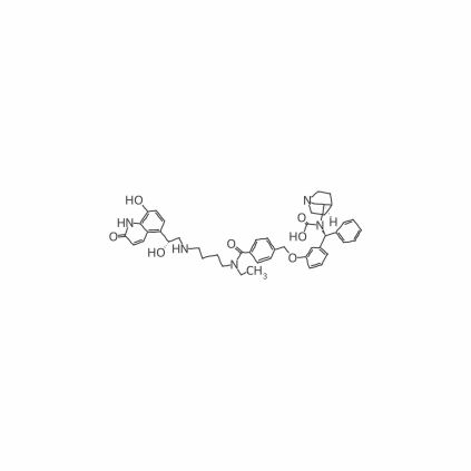 CCN(CCCCNC[C@H](O)c1ccc(O)c2[nH]c(=O)ccc12)C(=O)c1ccc(COc2cccc([C@H](c3ccccc3)N(C(=O)O)[C@H]3CN4CCC3CC4)c2)cc1